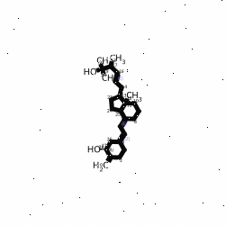 C=C1CC/C(=C/C=C2\CCCC3(C)C(C/C=C/C(C)C(C)(C)O)CCC23)C[C@H]1O